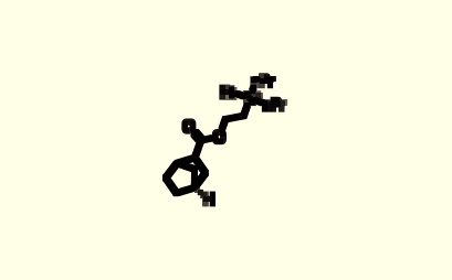 CCC[N+](CC)(CCC)CCOC(=O)C1C[C@H]2CCC1C2